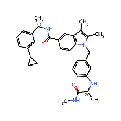 CNC(=O)[C@H](C)Nc1cccc(Cn2c(C)c(C)c3cc(C(=O)N[C@@H](C)c4cccc(C5CC5)c4)ccc32)c1